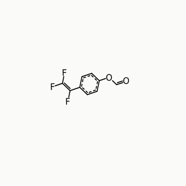 O=COc1ccc(C(F)=C(F)F)cc1